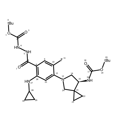 CC(C)(C)OC(=O)NNC(=O)c1cc(F)c(N2C[C@@H](NC(=O)OC(C)(C)C)C3(CC3)C2)cc1NC1CC1